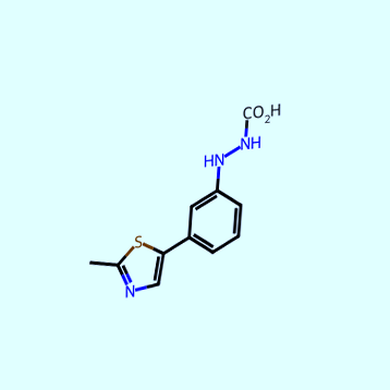 Cc1ncc(-c2cccc(NNC(=O)O)c2)s1